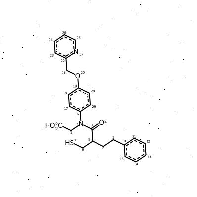 O=C(O)CN(C(=O)C(CS)CCc1ccccc1)c1ccc(OCc2ccccn2)cc1